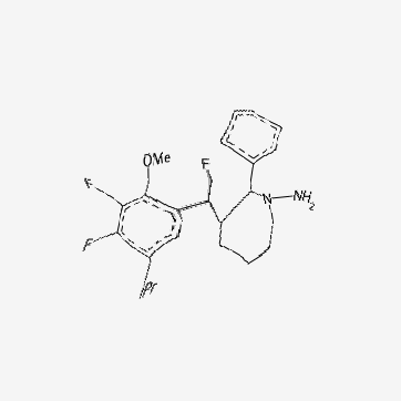 COc1c(C(F)C2CCCN(N)C2c2ccccc2)cc(C(C)C)c(F)c1F